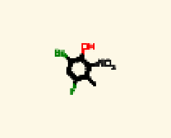 Cc1c(F)cc(Br)c(O)c1[N+](=O)[O-]